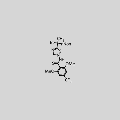 CCCCCCCCCC(C)(CC)C1=NCN(NC(=S)c2c(OC)cc(C(F)(F)F)cc2OC)S1